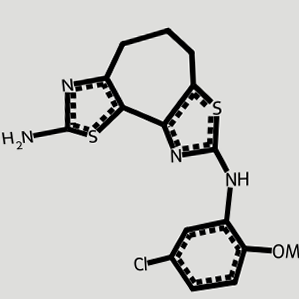 COc1ccc(Cl)cc1Nc1nc2c(s1)CCCc1nc(N)sc1-2